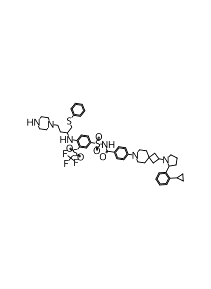 O=C(NS(=O)(=O)c1ccc(NC(CCN2CCNCC2)CSc2ccccc2)c(S(=O)(=O)C(F)(F)F)c1)c1ccc(N2CCC3(CC2)CC(N2CCCC2c2ccccc2C2CC2)C3)cc1